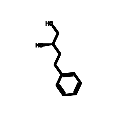 OC[C@H](O)CCc1ccccc1